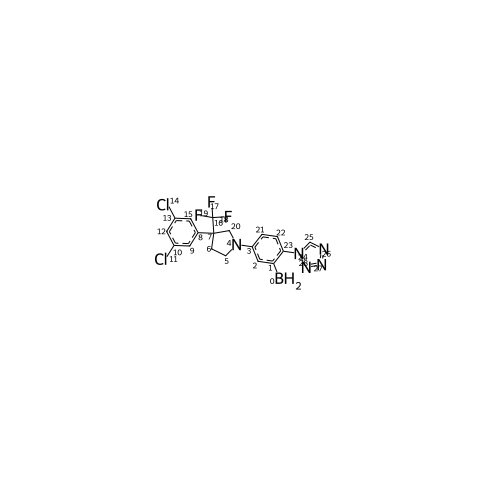 Bc1cc(N2CCC(c3cc(Cl)cc(Cl)c3)(C(F)(F)F)C2)ccc1-n1cnnn1